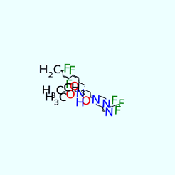 C=C(F)/C=C(F)\C(F)=C/CC[C@H](CC(=O)N1CCn2c(cnc2C(F)(F)F)C1)NC(=O)OC(C)(C)C